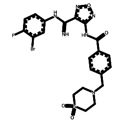 N=C(Nc1ccc(F)c(Br)c1)c1nonc1NC(=O)c1ccc(CN2CCS(=O)(=O)CC2)cc1